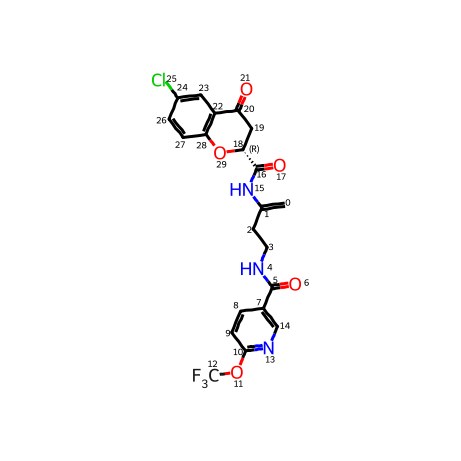 C=C(CCNC(=O)c1ccc(OC(F)(F)F)nc1)NC(=O)[C@H]1CC(=O)c2cc(Cl)ccc2O1